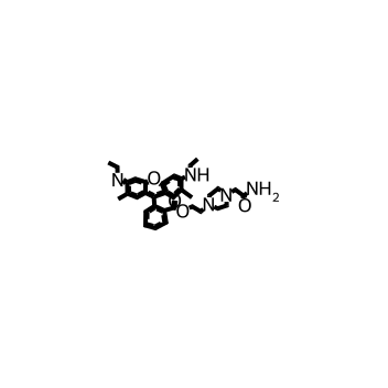 CC/N=c1\cc2oc3cc(NCC)c(C)cc3c(-c3ccccc3C(=O)OCCN3CCN(CC(N)=O)CC3)c-2cc1C